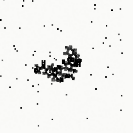 CC(C)n1nc(-c2cc(F)c(NS(=O)(=O)Cc3ccccc3Cl)cc2F)c2c1C(C)([C@H]1CC[C@H](NC3COC3)CC1)CN=C2N